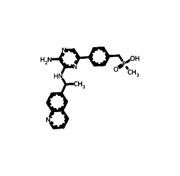 CC(Nc1nc(-c2ccc(CP(C)(=O)O)cc2)cnc1N)c1ccc2ncccc2c1